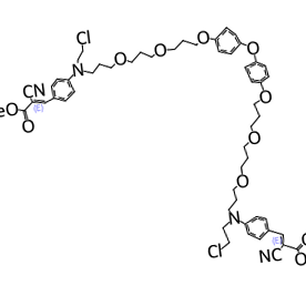 COC(=O)/C(C#N)=C/c1ccc(N(CCCl)CCCOCCCOCCCOc2ccc(Oc3ccc(OCCCOCCCOCCCN(CCCl)c4ccc(/C=C(\C#N)C(=O)OC)cc4)cc3)cc2)cc1